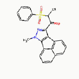 Cn1nc(C(=O)C(C#N)S(=O)(=O)c2ccccc2)c2c1-c1cccc3cccc-2c13